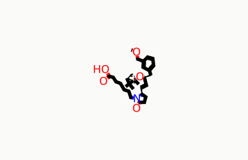 COCc1cccc(C[C@@H](/C=C/[C@H]2CCC(=O)N2CCCCCCC(=O)O)O[Si](C)(C)C(C)(C)C)c1